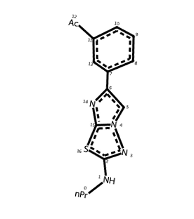 CCCNc1nn2cc(-c3cccc(C(C)=O)c3)nc2s1